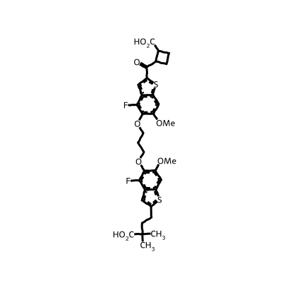 COc1cc2sc(CCC(C)(C)C(=O)O)cc2c(F)c1OCCCOc1c(OC)cc2sc(C(=O)C3CCC3C(=O)O)cc2c1F